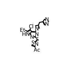 CCc1[nH]c2nc(Sc3nc(C(C)=O)cs3)nc(N3CC(Cc4cncnc4)C3)c2c1Cl